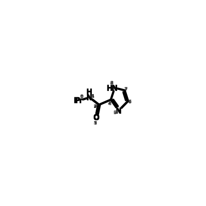 CC(C)NC(=O)c1ncc[nH]1